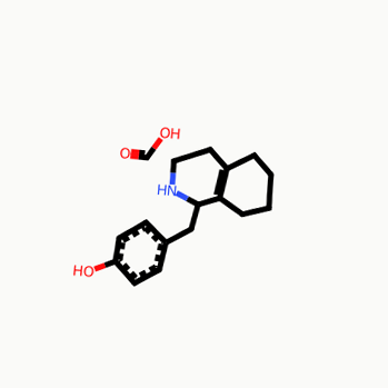 O=CO.Oc1ccc(CC2NCCC3=C2CCCC3)cc1